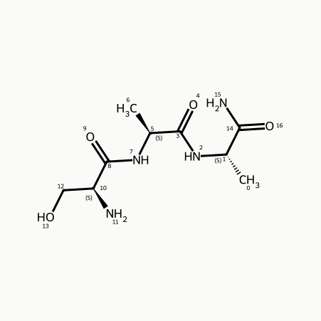 C[C@H](NC(=O)[C@H](C)NC(=O)[C@@H](N)CO)C(N)=O